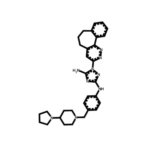 Nc1nc(Nc2ccc(CN3CCC(N4CCCC4)CC3)cc2)nn1-c1cc2c(nn1)-c1ccccc1CCC2